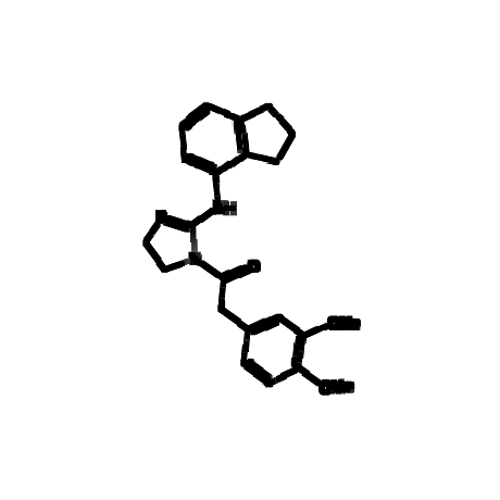 COc1ccc(CC(=O)N2CCN=C2Nc2cccc3c2CCC3)cc1OC